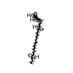 CCCCNC(=O)CCCCCCC/C=C/CCCCCCCC(=O)NCCC[N+](C)(C)CC(O)CS(=O)(=O)O